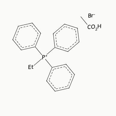 CC(=O)O.CC[P+](c1ccccc1)(c1ccccc1)c1ccccc1.[Br-]